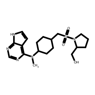 CN(c1ncnc2[nH]ccc12)C1CCC(CS(=O)(=O)N2CCCC2CO)CC1